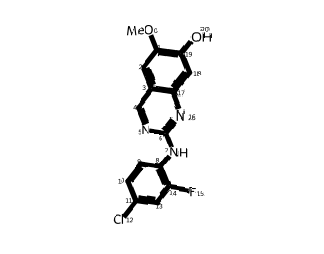 COc1cc2cnc(Nc3ccc(Cl)cc3F)nc2cc1O